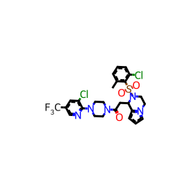 Cc1cccc(Cl)c1S(=O)(=O)N1CCn2cccc2C1CC(=O)N1CCN(c2ncc(C(F)(F)F)cc2Cl)CC1